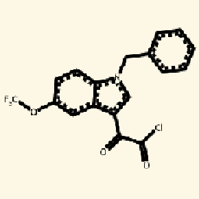 O=C(Cl)C(=O)c1cn(Cc2ccccc2)c2ccc(OC(F)(F)F)cc12